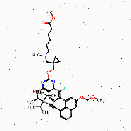 COCOc1cc(-c2c(F)cc3c(O)nc(OCC4(CN(C)CCCCCC(=O)OC)CC4)nc3c2F)c2c(C#C[Si](C(C)C)(C(C)C)C(C)C)cccc2c1